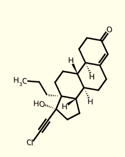 CCC[C@]12CC[C@H]3[C@@H](CCC4=CC(=O)CC[C@@H]43)[C@@H]1CC[C@@]2(O)C#CCl